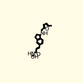 Cc1ccc(CNC2CCc3cc(C=CC(=O)NO)ccc32)o1